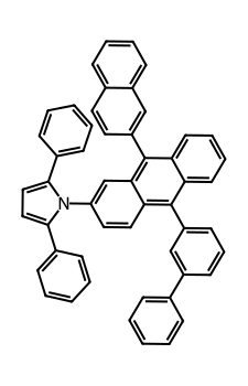 c1ccc(-c2cccc(-c3c4ccccc4c(-c4ccc5ccccc5c4)c4cc(-n5c(-c6ccccc6)ccc5-c5ccccc5)ccc34)c2)cc1